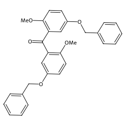 COc1ccc(OCc2ccccc2)cc1C(=O)c1cc(OCc2ccccc2)ccc1OC